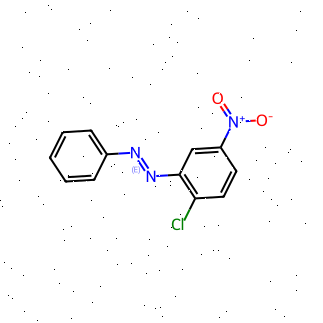 O=[N+]([O-])c1ccc(Cl)c(/N=N/c2ccccc2)c1